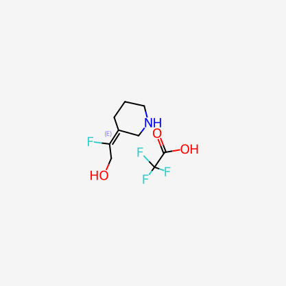 O=C(O)C(F)(F)F.OC/C(F)=C1/CCCNC1